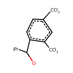 CC(C)C([O])c1ccc(C(Cl)(Cl)Cl)cc1C(Cl)(Cl)Cl